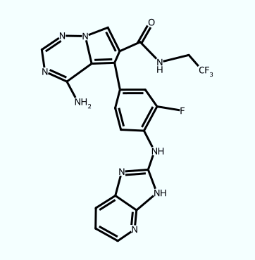 Nc1ncnn2cc(C(=O)NCC(F)(F)F)c(-c3ccc(Nc4nc5cccnc5[nH]4)c(F)c3)c12